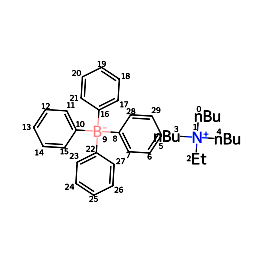 CCCC[N+](CC)(CCCC)CCCC.c1ccc([B-](c2ccccc2)(c2ccccc2)c2ccccc2)cc1